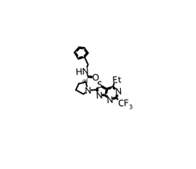 CCc1nc(C(F)(F)F)nc2nc(N3CCC[C@@H]3C(=O)NCc3ccccc3)sc12